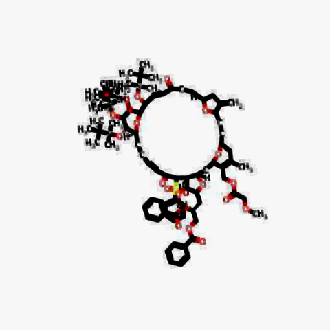 C=C1C[C@@H]2CCC(=O)/C=C/C(O[Si](C)(C)C(C)(C)C)[C@@H]3O[C@@H](CC/C=C\C(=O)C(S(=O)(=O)c4ccccc4)[C@H]4[C@H](CC5OC(CCC1O2)CC(C)=C5COC(=O)COC)OC(C[C@@H](COC(=O)c1ccccc1)OC(=O)c1ccccc1)[C@@H]4OC)[C@H](O[Si](C)(C)C(C)(C)C)C(O[Si](C)(C)C(C)(C)C)C3O[Si](C)(C)C(C)(C)C